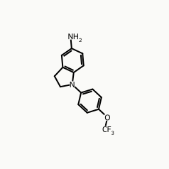 Nc1ccc2c(c1)CCN2c1ccc(OC(F)(F)F)cc1